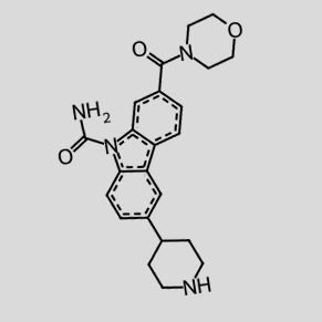 NC(=O)n1c2ccc(C3CCNCC3)cc2c2ccc(C(=O)N3CCOCC3)cc21